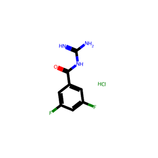 Cl.N=C(N)NC(=O)c1cc(F)cc(F)c1